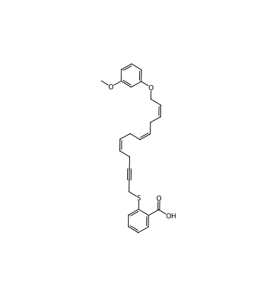 COc1cccc(OC/C=C\C/C=C\C/C=C\CC#CCSc2ccccc2C(=O)O)c1